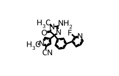 CN1C(=O)C(c2cccc(-c3cccnc3F)c2)(c2cc(C#N)n(C)c2)N=C1N